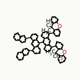 CC1(C)c2ccccc2Oc2cccc(-c3cccc4c(-c5c6cccc(-c7ccc8ccccc8c7)c6cc6c(-c7ccc8ccccc8c7)cccc56)c5cccc(-c6cccc7c6C(C)(C)c6ccccc6O7)c5cc34)c21